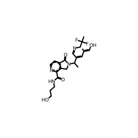 CC(/C=C(\C=N/CC(C)(F)F)C(C)N1Cc2c(ccnc2C(=O)NCCCO)C1=O)=C\O